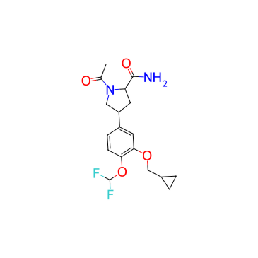 CC(=O)N1CC(c2ccc(OC(F)F)c(OCC3CC3)c2)CC1C(N)=O